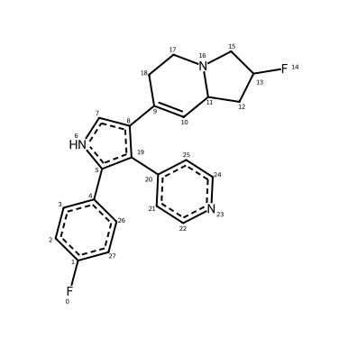 Fc1ccc(-c2[nH]cc(C3=CC4CC(F)CN4CC3)c2-c2ccncc2)cc1